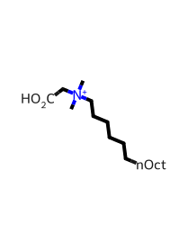 CCCCCCCCCCCCCC[N+](C)(C)CC(=O)O